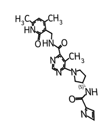 Cc1cc(C)c(CNC(=O)c2ncnc(N3CC[C@H](NC(=O)C4=NC=C4)C3)c2C)c(=O)[nH]1